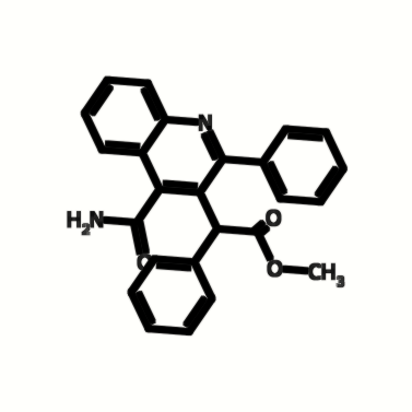 COC(=O)C(c1ccccc1)c1c(-c2ccccc2)nc2ccccc2c1C(N)=O